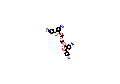 CN(C)c1ccc(C(=O)c2ccc(N(C)C)cc2C(=O)OCC(C)(C)OCC(C)(C)OC(=O)c2cc(N(C)C)ccc2C(=O)c2ccc(N(C)C)cc2)cc1